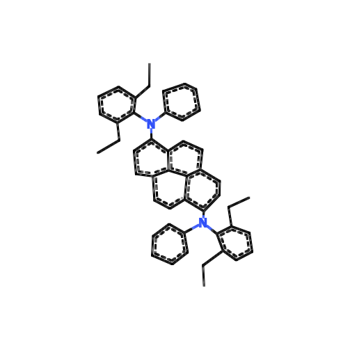 CCc1cccc(CC)c1N(c1ccccc1)c1ccc2ccc3c(N(c4ccccc4)c4c(CC)cccc4CC)ccc4ccc1c2c43